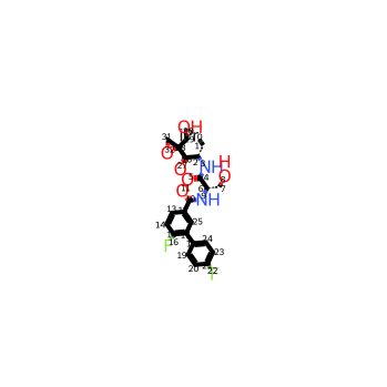 CC(C)C[C@H](NC(=O)[C@H](CO)NC(=O)c1ccc(F)c(-c2ccc(F)cc2)c1)C(=O)C1(CO)CO1